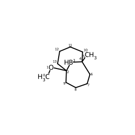 COC12BC(C)(CCCC1)CCCC2